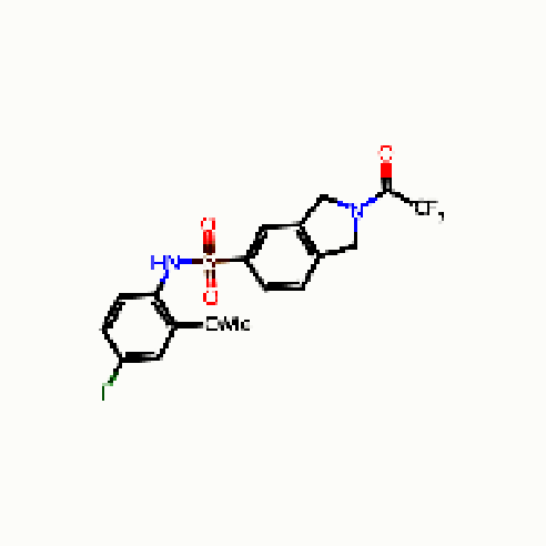 COc1cc(F)ccc1NS(=O)(=O)c1ccc2c(c1)CN(C(=O)C(F)(F)F)C2